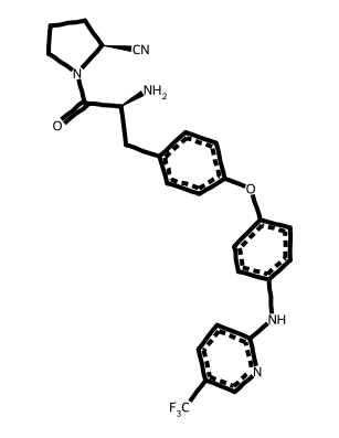 N#C[C@@H]1CCCN1C(=O)[C@@H](N)Cc1ccc(Oc2ccc(Nc3ccc(C(F)(F)F)cn3)cc2)cc1